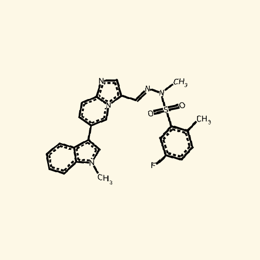 Cc1ccc(F)cc1S(=O)(=O)N(C)/N=C/c1cnc2ccc(-c3cn(C)c4ccccc34)cn12